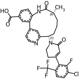 C[C@@H]1CCC[C@H](N2CCC(c3c(C(F)(F)F)ccc(Cl)c3F)=CC2=O)c2cc(ccn2)-c2cc(C(=O)O)ccc2NC1=O